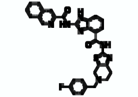 O=C(Nc1nc2c(C(=O)Nc3nc4c(s3)CN(Cc3ccc(F)cc3)CC4)cccc2[nH]1)c1cc2ccccc2cn1